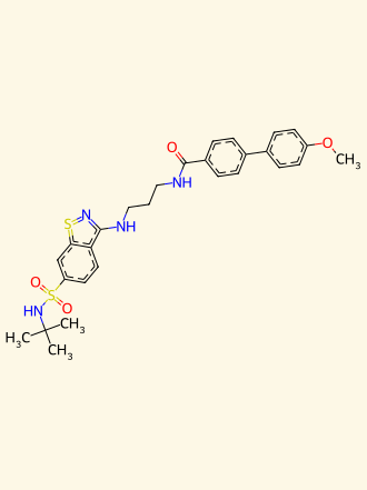 COc1ccc(-c2ccc(C(=O)NCCCNc3nsc4cc(S(=O)(=O)NC(C)(C)C)ccc34)cc2)cc1